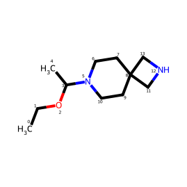 CCOC(C)N1CCC2(CC1)CNC2